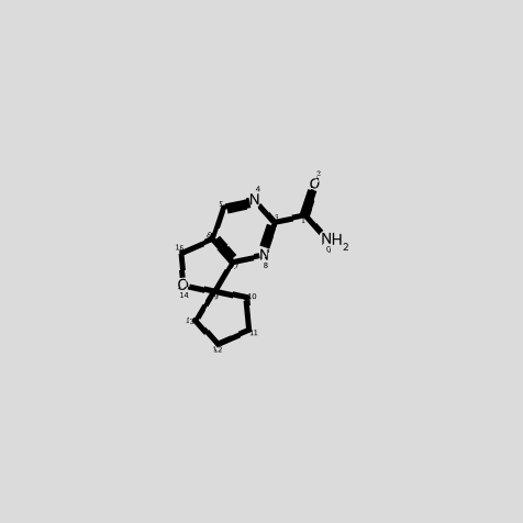 NC(=O)c1ncc2c(n1)C1(CCCC1)OC2